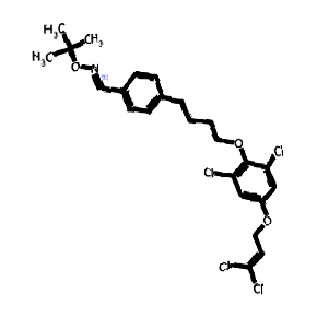 CC(C)(C)O/N=C/c1ccc(CCCCOc2c(Cl)cc(OCC=C(Cl)Cl)cc2Cl)cc1